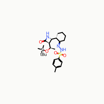 Cc1ccc(S(=O)(=O)NN=C2CCCC[C@H]2[C@H]2NC(=O)[C@@H]2[C@@H](C)O[Si](C)(C)C(C)(C)C)cc1